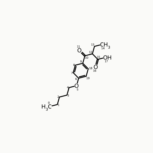 CCCCCOc1ccc(C(=O)C(CC)C(=O)O)cc1